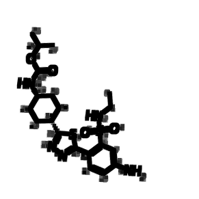 CCNS(=O)(=O)c1cc(N)ccc1-c1nnc([C@H]2CC[C@H](NC(=O)OC(C)C)CC2)s1